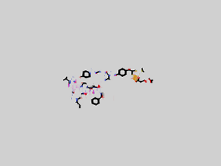 CC[C@H](C)C([C@@H](CC(=O)N1CCC[C@H]1[C@H](OC)[C@@H](C)C(=O)N[C@H](C)[C@@H](O)c1ccccc1)OC)N(C)C(=O)CNC(=O)C(C(C)C)N(C)C(=O)OCc1ccc(NC(=O)CNC(=O)C(NC(=O)c2ccc(C(=O)C(CSC(C)C)CS(=O)(=O)C(C)(C)CCOC(C)(C)C)cc2)C(C)C)cc1